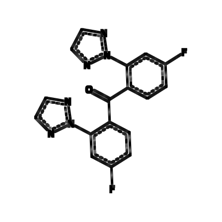 O=C(c1ccc(F)cc1-n1nccn1)c1ccc(F)cc1-n1nccn1